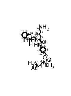 CC(=O)N(C)CCN(C)C(=O)OCc1ccc(NC(=O)[C@H](CCCCN)NC(=O)[C@H](Cc2ccccc2)NC(C)C)cc1